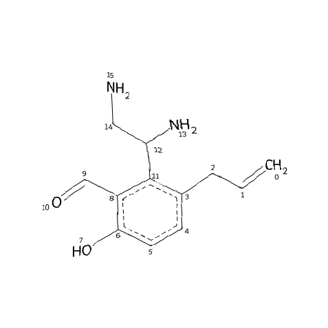 C=CCc1ccc(O)c(C=O)c1C(N)CN